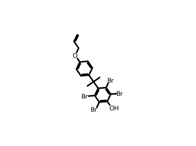 C=CCOc1ccc(C(C)(C)c2c(Br)c(Br)c(O)c(Br)c2Br)cc1